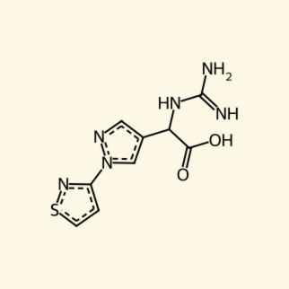 N=C(N)NC(C(=O)O)c1cnn(-c2ccsn2)c1